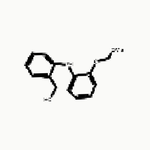 COCOc1ccccc1Pc1ccccc1CO